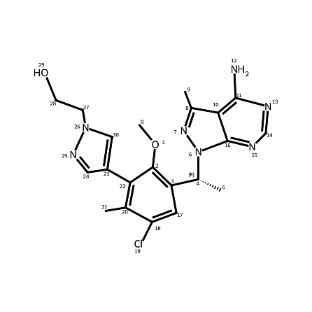 COc1c([C@@H](C)n2nc(C)c3c(N)ncnc32)cc(Cl)c(C)c1-c1cnn(CCO)c1